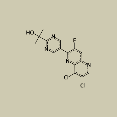 CC(C)(O)c1ncc(-c2nc3c(Cl)c(Cl)cnc3cc2F)cn1